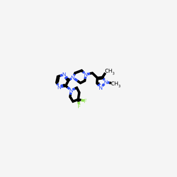 Cc1c(CN2CCN(c3nccnc3N3CCC(F)(F)CC3)CC2)cnn1C